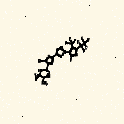 Cn1nc(C(F)(F)C(F)(F)F)c(C(F)(F)F)c1-n1cc(-c2cc(C(=O)NC3(C(N)S)CC3)c(Cl)s2)cn1